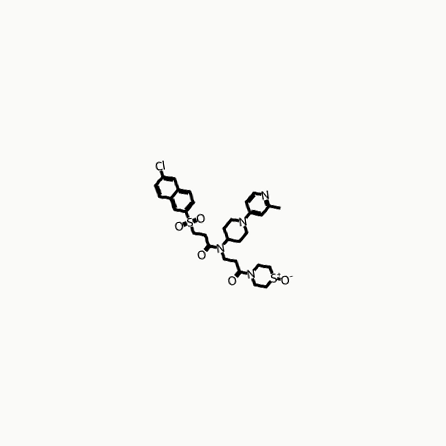 Cc1cc(N2CCC(N(CCC(=O)N3CC[S+]([O-])CC3)C(=O)CCS(=O)(=O)c3ccc4cc(Cl)ccc4c3)CC2)ccn1